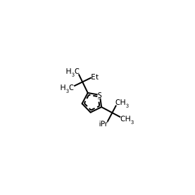 CCC(C)(C)c1ccc(C(C)(C)C(C)C)s1